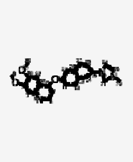 COc1cc2nccc(Oc3ccc4cc(N5C=CN(C)C5)ccc4c3)c2cc1OC